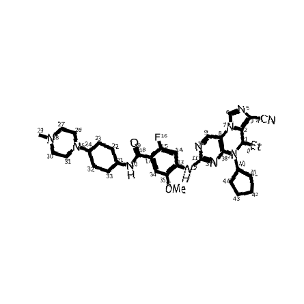 CCC1c2c(C#N)ncn2-c2cnc(Nc3cc(F)c(C(=O)NC4CCC(N5CCN(C)CC5)CC4)cc3OC)nc2N1C1CCCC1